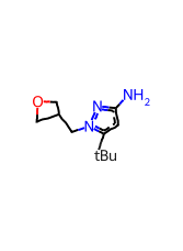 CC(C)(C)c1cc(N)nn1CC1COC1